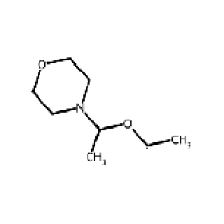 C[CH]OC(C)N1CCOCC1